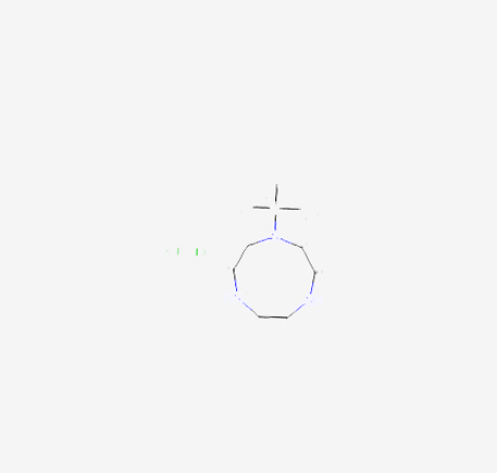 Cl.Cl.Cl.[CH3][Ti]([CH3])([N]1CCNCCNCC1)[C](F)(F)F